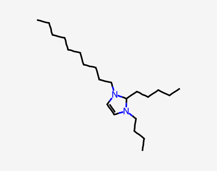 CCCCCCCCCCN1C=CN(CCCC)C1CCCCC